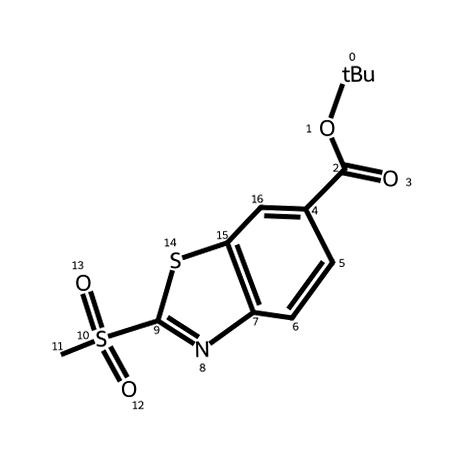 CC(C)(C)OC(=O)c1ccc2nc(S(C)(=O)=O)sc2c1